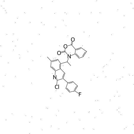 Cc1cc(C(C)n2c(=O)oc(=O)c3ccccc32)c2cc(-c3ccc(F)cc3)c(Cl)nc2c1